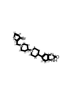 O=C1[N]c2cc(C3CCN(C4CCN(Cc5sccc5Br)CC4)CC3)ccc2N1